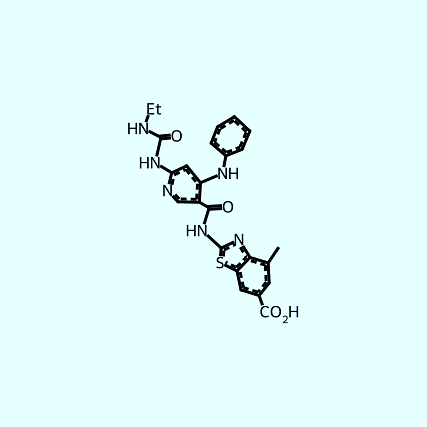 CCNC(=O)Nc1cc(Nc2ccccc2)c(C(=O)Nc2nc3c(C)cc(C(=O)O)cc3s2)cn1